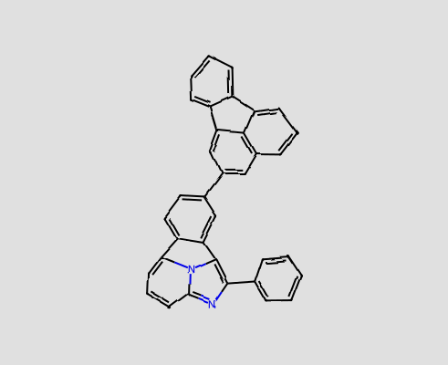 c1ccc(-c2nc3cccc4c5ccc(-c6cc7c8c(cccc8c6)-c6ccccc6-7)cc5c2n34)cc1